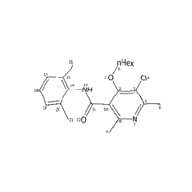 CCCCCCOc1c(Cl)c(C)nc(C)c1C(=O)Nc1c(C)cccc1C